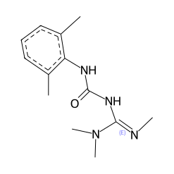 C/N=C(\NC(=O)Nc1c(C)cccc1C)N(C)C